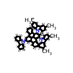 Cc1ccc2c(c1)c1cc(C)cc3c1n2-c1c2c(c4c5ccccc5c5cc(-n6c7ccccc7c7ccccc76)cc6c7ccccc7c1c4c65)-n1c4ccc(C)cc4c4cc(C)cc(c41)B23